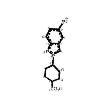 O=C(O)C1CCC(n2cc3cc(Br)ccc3n2)CC1